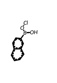 OB(OCl)c1ccc2ccccc2c1